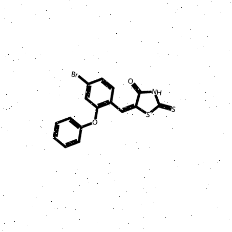 O=C1NC(=S)SC1=Cc1ccc(Br)cc1Oc1ccccc1